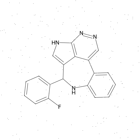 Fc1ccccc1C1Nc2ccccc2-c2cnnc3[nH]cc1c23